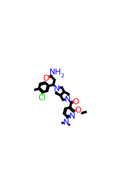 CCOc1nc(N(C)C)ccc1C(=O)N1CC2CN(C(CC(N)=O)c3ccc(C)c(Cl)c3)CC2C1